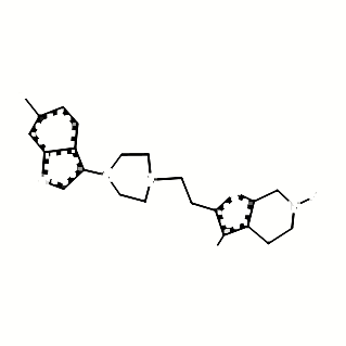 CCc1c(CCN2CCN(c3coc4cc(F)ccc34)CC2)sc2c1CCN(C(C)=O)C2